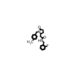 Cc1ccc(CN2C(=O)CCC2CC(=O)NCc2ccccc2F)cc1